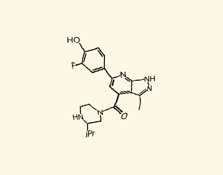 Cc1n[nH]c2nc(-c3ccc(O)c(F)c3)cc(C(=O)N3CCNC(C(C)C)C3)c12